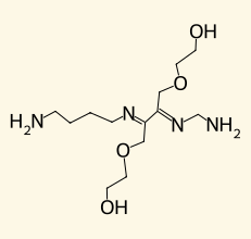 NCCCC/N=C(COCCO)/C(COCCO)=N/CN